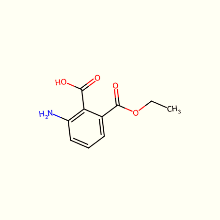 CCOC(=O)c1cccc(N)c1C(=O)O